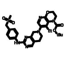 CCc1c(N2CCc3cnc(Nc4ccc(CS(C)(=O)=O)cc4)nc3C2)cnc2c1N(C(=O)OC(C)(C)C)CCO2